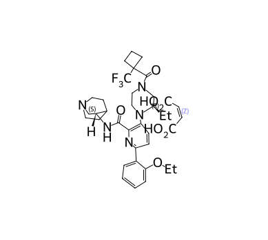 CCOc1ccccc1-c1ccc(N2CCN(C(=O)C3(C(F)(F)F)CCC3)C[C@H]2CC)c(C(=O)N[C@@H]2CN3CCC2CC3)n1.O=C(O)/C=C\C(=O)O